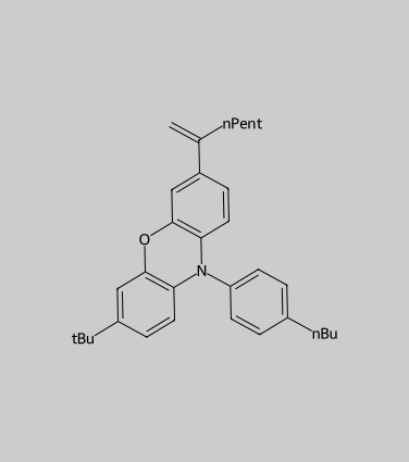 C=C(CCCCC)c1ccc2c(c1)Oc1cc(C(C)(C)C)ccc1N2c1ccc(CCCC)cc1